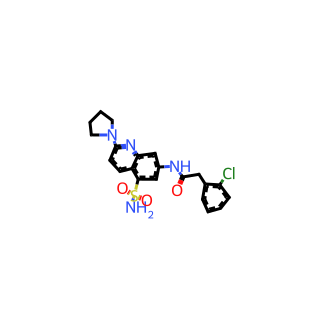 NS(=O)(=O)c1cc(NC(=O)Cc2ccccc2Cl)cc2nc(N3CCCC3)ccc12